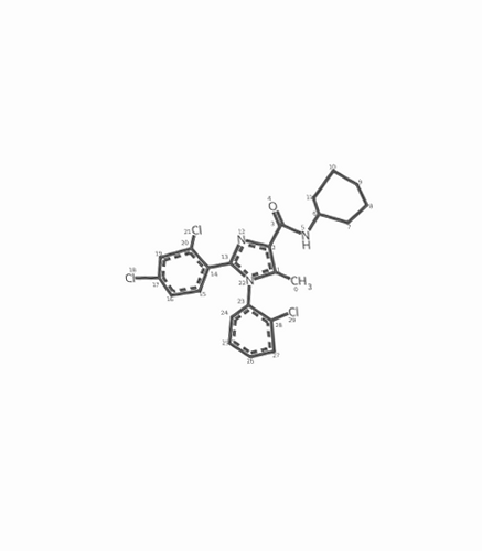 Cc1c(C(=O)NC2CCCCC2)nc(-c2ccc(Cl)cc2Cl)n1-c1ccccc1Cl